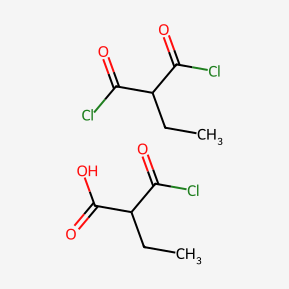 CCC(C(=O)Cl)C(=O)Cl.CCC(C(=O)O)C(=O)Cl